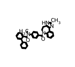 Cc1nc2c([nH]1)CCN(C(=O)c1ccc(N(C)C(=O)c3ccccc3-c3ccccc3)cc1)c1ccccc1-2